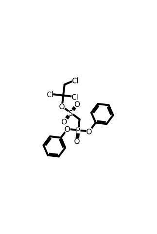 O=P(CS(=O)(=O)OC(Cl)(Cl)CCl)(Oc1ccccc1)Oc1ccccc1